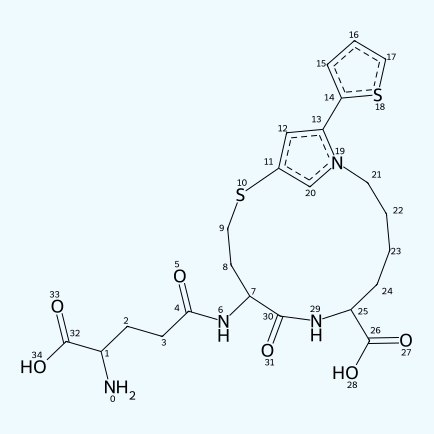 NC(CCC(=O)NC1CCSc2cc(-c3cccs3)n(c2)CCCCC(C(=O)O)NC1=O)C(=O)O